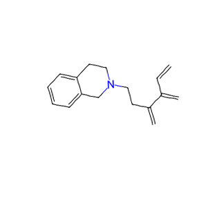 C=CC(=C)C(=C)CCN1CCc2ccccc2C1